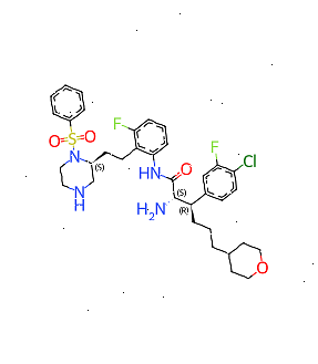 N[C@H](C(=O)Nc1cccc(F)c1CC[C@H]1CNCCN1S(=O)(=O)c1ccccc1)[C@H](CCCC1CCOCC1)c1ccc(Cl)c(F)c1